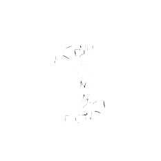 Fc1ccc2[nH]cc(C3CCC(N4CCN(c5cc(C(F)(F)F)nc6ccccc56)CC4)CC3)c2c1